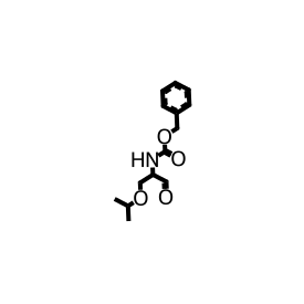 CC(C)OCC(C=O)NC(=O)OCc1ccccc1